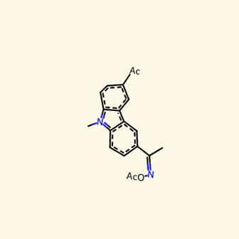 CC(=O)O/N=C(/C)c1ccc2c(c1)c1cc(C(C)=O)ccc1n2C